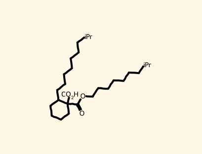 CC(C)CCCCCCCOC(=O)C1(C(=O)O)CCCCC1CCCCCCCC(C)C